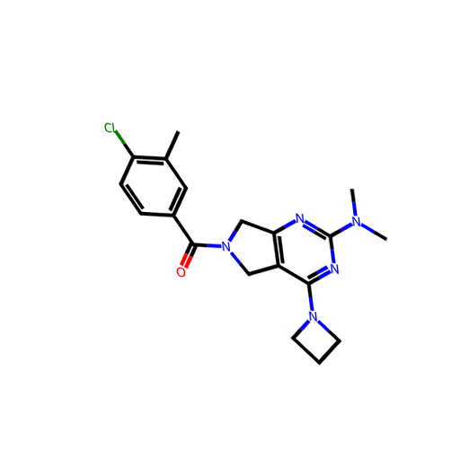 Cc1cc(C(=O)N2Cc3nc(N(C)C)nc(N4CCC4)c3C2)ccc1Cl